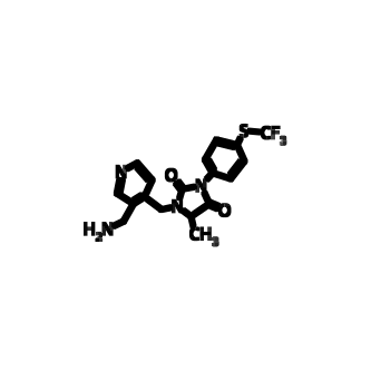 CC1C(=O)N(c2ccc(SC(F)(F)F)cc2)C(=O)N1Cc1ccncc1CN